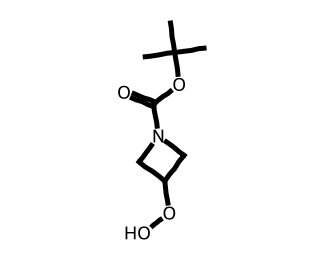 CC(C)(C)OC(=O)N1CC(OO)C1